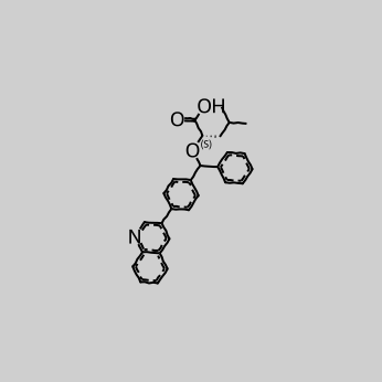 CC(C)C[C@H](OC(c1ccccc1)c1ccc(-c2cnc3ccccc3c2)cc1)C(=O)O